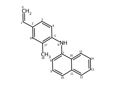 C=Cc1ccc(Nc2cccc3ccccc23)c(C)c1